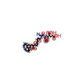 CO[Si](CN(CCC(CCC(=O)O)C(=O)O)C(=O)/C(C#N)=C/c1ccc(-c2ccc(-c3cc4cc5c6c(c4oc3=O)C(C)(C)CCN6CCC5(C)C)o2)o1)(OC)OC